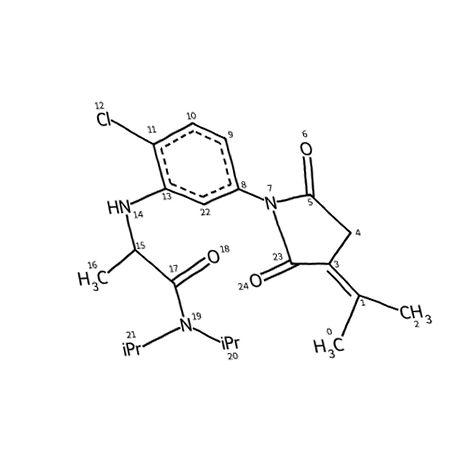 CC(C)=C1CC(=O)N(c2ccc(Cl)c(NC(C)C(=O)N(C(C)C)C(C)C)c2)C1=O